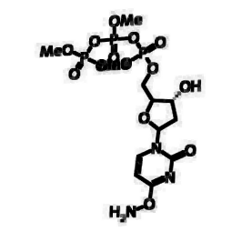 COP(=O)(OC)OP(=O)(OC)OP(=O)(OC)OCC1OC(n2ccc(ON)nc2=O)C[C@H]1O